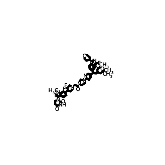 Cn1nc(N2CCC(=O)NC2=O)c2ccc(C3CCN(CC(=O)N4CCN(c5ccc(C(=CC6CC(C)(C)OC(C)(C)C6)c6ccc7c(c6)c(F)nn7C6CCOCC6)cn5)CC4)CC3(F)F)cc21